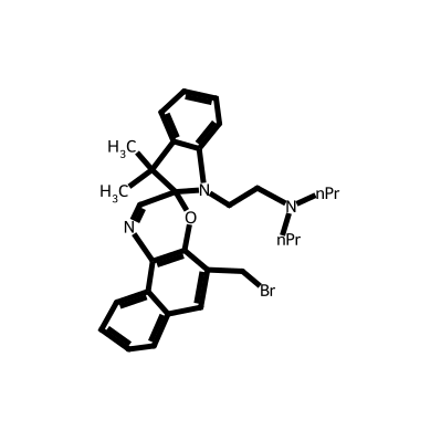 CCCN(CCC)CCN1c2ccccc2C(C)(C)C12C=Nc1c(c(CBr)cc3ccccc13)O2